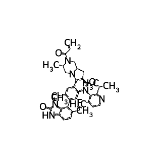 C=CC(=O)N1CC2Cc3c(c4cc(Cl)c(-c5c(C)ccc6[nH]c(=O)n(C)c56)c(F)c4n(-c4c(C)ccnc4C(C)C)c3=O)N2CC1C